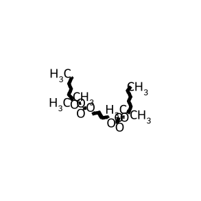 CCCCCC(C)(C)OOC(=O)OCC=CCOC(=O)OOC(C)(C)CCCCC